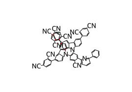 N#Cc1ccc(-c2ccc3c(c2)c2cc(-c4ccc(C#N)cc4C#N)ccc2n3-c2cc(C#N)c(-c3cccc(-c4ccccc4)n3)cc2-n2c3ccc(-c4ccc(C#N)cc4C#N)cc3c3cc(-c4ccc(C#N)cc4C#N)ccc32)c(C#N)c1